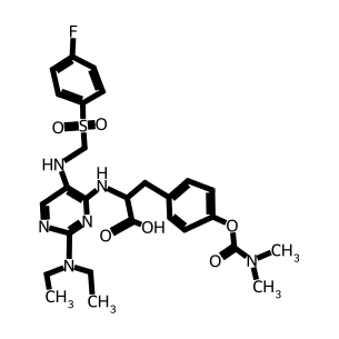 CCN(CC)c1ncc(NCS(=O)(=O)c2ccc(F)cc2)c(NC(Cc2ccc(OC(=O)N(C)C)cc2)C(=O)O)n1